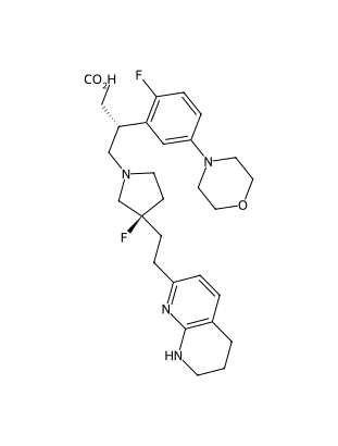 O=C(O)C[C@@H](CN1CC[C@](F)(CCc2ccc3c(n2)NCCC3)C1)c1cc(N2CCOCC2)ccc1F